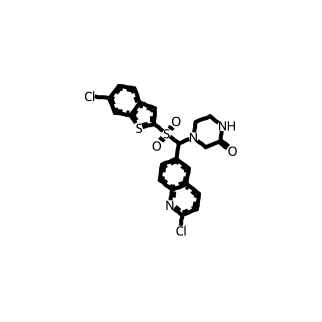 O=C1CN(C(c2ccc3nc(Cl)ccc3c2)S(=O)(=O)c2cc3ccc(Cl)cc3s2)CCN1